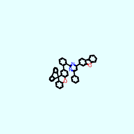 c1ccc(-c2cc(-c3ccc4c(c3)oc3ccccc34)nc(-c3ccccc3-c3ccc4c(c3)C3(c5ccccc5O4)c4ccccc4-c4ccccc43)n2)cc1